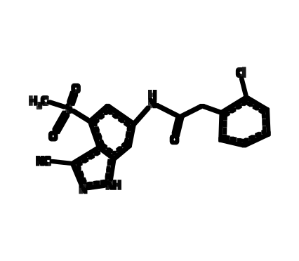 CS(=O)(=O)c1cc(NC(=O)Cc2ccccc2Cl)cc2[nH]nc(C#N)c12